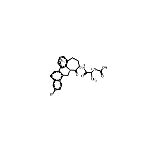 COc1ccc2cc(Br)ccc2c1CN1C(=O)[C@@H](NC(=O)C(C)NC(=O)O)CCc2ccccc21